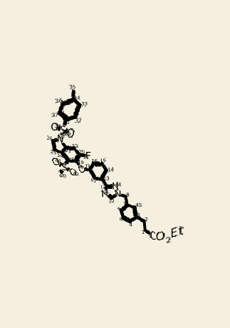 CCOC(=O)CCc1cccc(Cn2cnc(-c3cccc(Oc4c(F)cc5c(ccn5S(=O)(=O)c5ccc(C)cc5)c4S(C)(=O)=O)c3)n2)c1